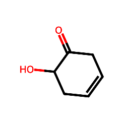 O=C1CC=CCC1O